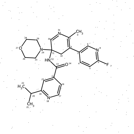 CC1=C(c2ccc(F)nc2)CC(NC(=O)c2ccnc(C(C)C)c2)(N2CCOCC2)C=N1